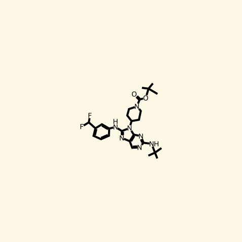 CC(C)(C)Nc1ncc2nc(Nc3cccc(C(F)F)c3)n(C3CCN(C(=O)OC(C)(C)C)CC3)c2n1